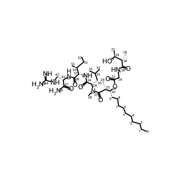 CCCCCCCCCC[C@@H](OC(=O)CNC(=O)[C@@H](C)[C@H](C)O)[C@@H](C)C(=O)N(C)[C@@H](CC(C)C)C(=O)N[C@H](C(=O)N[C@@H](CNC(=N)N)C(N)=O)[C@@H](C)CC